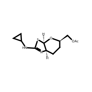 CC(=O)OC[C@H]1[C][C][C@H]2N=C(NC3CC3)S[C@H]2O1